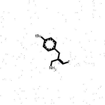 CC(C)(C)c1ccc(C/C(=C\F)CN)cc1